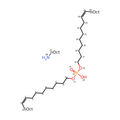 CCCCCCCC/C=C\CCCCCCCCOP(=O)(O)OCCCCCCCC/C=C\CCCCCCCC.CCCCCCCCN